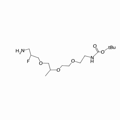 CC(COCC(F)CN)OCCOCCNC(=O)OC(C)(C)C